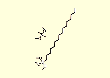 CCCCCCCCCCCCCCCC[Si](OC)(OC)OC.CO[Si](C)(C)OC